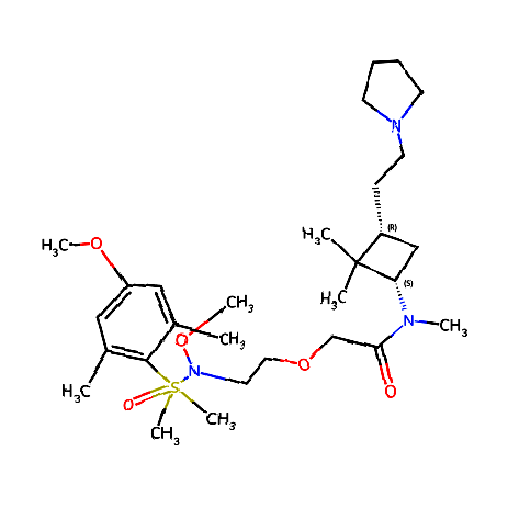 COc1cc(C)c(S(C)(C)(=O)N(CCOCC(=O)N(C)[C@H]2C[C@@H](CCN3CCCC3)C2(C)C)OC)c(C)c1